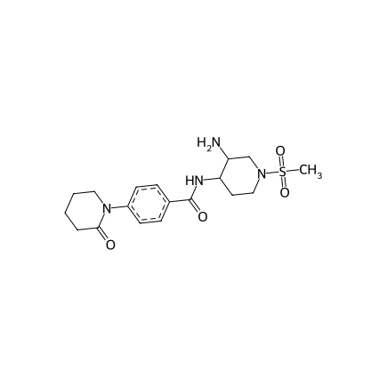 CS(=O)(=O)N1CCC(NC(=O)c2ccc(N3CCCCC3=O)cc2)C(N)C1